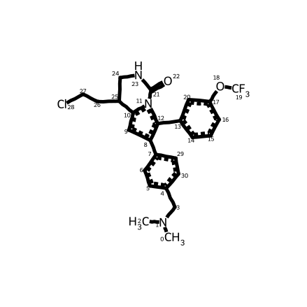 CN(C)Cc1ccc(-c2cc3n(c2-c2cccc(OC(F)(F)F)c2)C(=O)NCC3CCCl)cc1